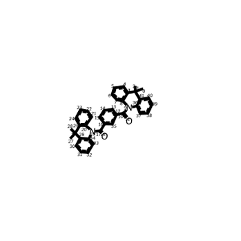 CC1(C)c2ccccc2N(C(=O)c2cccc(C(=O)N3c4ccccc4C(C)(C)c4ccccc43)c2)c2ccccc21